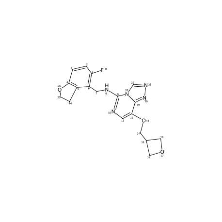 Fc1ccc2c(c1CNc1ncc(OCC3COC3)c3nncn13)CCO2